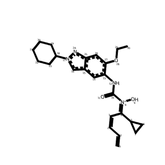 C=C/C=C\C(C1CC1)=[N+](\O)C(=O)Nc1cc2cn(C3CCCCC3)nc2cc1OCC